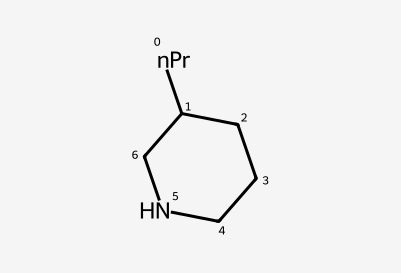 CCCC1CCCNC1